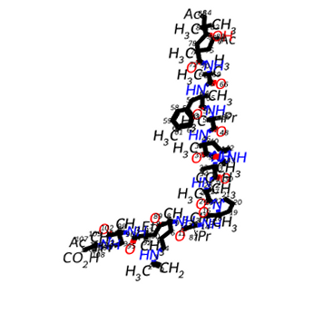 C=C(C)NCCCC(C)(NC(=O)[C@@](C)(NC(=O)[C@]1(C)CCCN1C(=O)C(C)(C)NC(=O)C(C)(CC(=O)O)NC(=O)C(C)(Cc1c[nH]cn1)NC(=O)C(C)(NC(=O)C(C)(Cc1ccc(C)cc1)NC(=O)C(C)(C)NC(=O)C(C)(CCC(C)=O)CC(O)C(C)(C)CC(C)=O)C(C)C)C(C)C)C(=O)CC(C)(CC)C(=O)NC(C)(CC(C)C)C(=O)NC(C)(CC(C)=O)C(=O)O